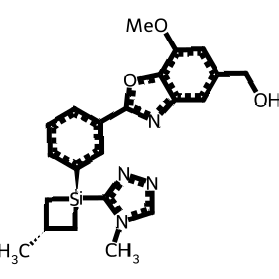 COc1cc(CO)cc2nc(-c3cccc([Si@]4(c5nncn5C)C[C@@H](C)C4)c3)oc12